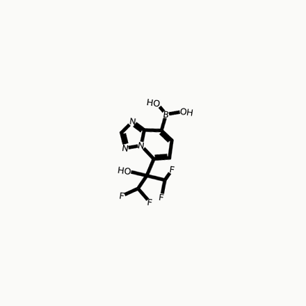 OB(O)c1ccc(C(O)(C(F)F)C(F)F)n2ncnc12